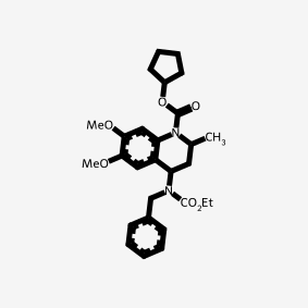 CCOC(=O)N(Cc1ccccc1)C1CC(C)N(C(=O)OC2CCCC2)c2cc(OC)c(OC)cc21